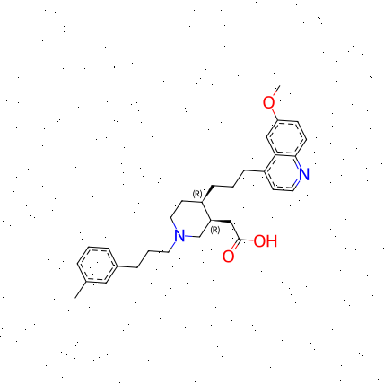 COc1ccc2nccc(CCC[C@@H]3CCN(CCCc4cccc(C)c4)C[C@@H]3CC(=O)O)c2c1